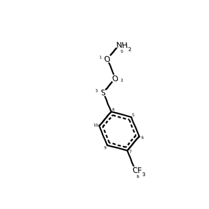 NOOSc1ccc(C(F)(F)F)cc1